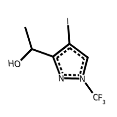 CC(O)c1nn(C(F)(F)F)cc1I